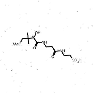 COCC(C)(C)[C@@H](O)C(=O)NCCC(=O)NCCS(=O)(=O)O